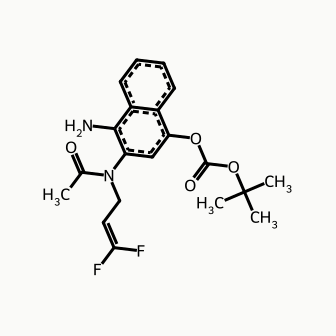 CC(=O)N(CC=C(F)F)c1cc(OC(=O)OC(C)(C)C)c2ccccc2c1N